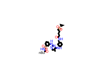 CCCCC(=O)NS(=O)(=O)c1cccc(Nc2ncc(C)c(Nc3cccc(CNC(=O)CCCCS(=O)(=O)C4CC4)c3)n2)c1